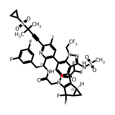 CC(C)(C#Cc1nc([C@H](Cc2cc(F)cc(F)c2)NC(=O)Cn2nc(C(F)F)c3c2C(F)(F)C2C[C@H]32)c(-c2ccc(Cl)c3c(NS(C)(=O)=O)nn(CC(F)(F)F)c23)cc1I)S(=O)(=O)C1CC1